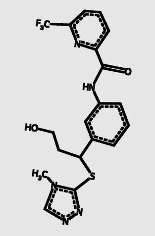 Cn1cnnc1SC(CCO)c1cccc(NC(=O)c2cccc(C(F)(F)F)n2)c1